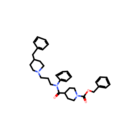 O=C(OCc1ccccc1)N1CCC(C(=O)N(CCCN2CCC(Cc3ccccc3)CC2)c2ccccc2)CC1